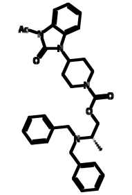 CC(=O)n1c(=O)n(C2CCN(C(=O)OC[C@H](C)N(Cc3ccccc3)Cc3ccccc3)CC2)c2ccccc21